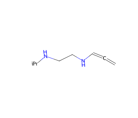 C=C=CNCCNC(C)C